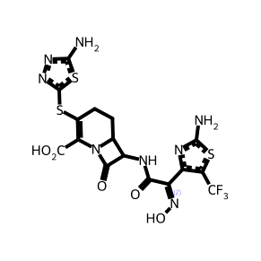 Nc1nnc(SC2=C(C(=O)O)N3C(=O)C(NC(=O)/C(=N\O)c4nc(N)sc4C(F)(F)F)C3CC2)s1